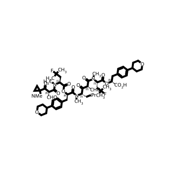 CNC1(C(=O)[C@@H](C=O)C(=O)N(C)[C@@H](CC(C)(C)F)C(=O)O[C@H](Cc2ccc(C3CCOCC3)cc2)C(=O)N(C)[C@@H](CC(C)C)C(=O)[C@@H](C=O)C(=O)N(C)[C@@H](CC(C)(C)F)C(=O)O[C@H](Cc2ccc(C3CCOCC3)cc2)C(=O)O)CC1